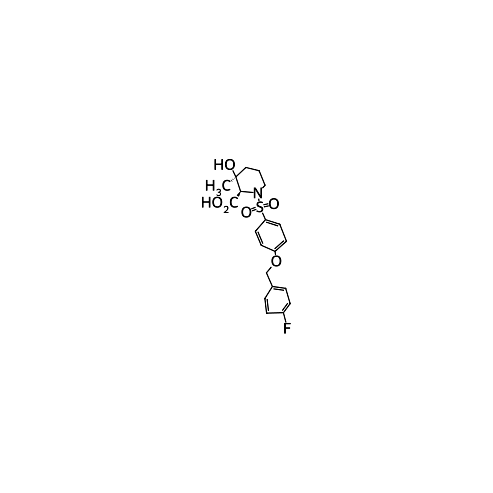 C[C@]1(O)CCCN(S(=O)(=O)c2ccc(OCc3ccc(F)cc3)cc2)[C@H]1C(=O)O